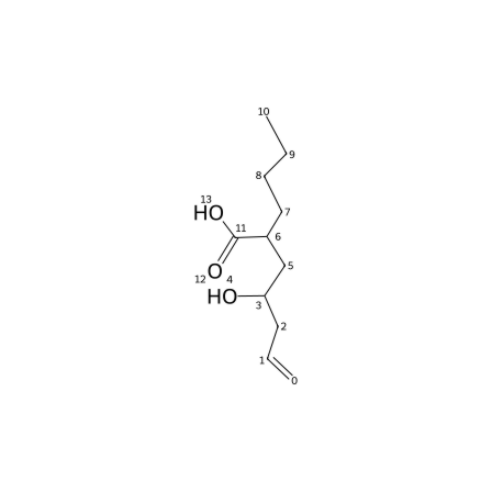 C=CCC(O)CC(CCCC)C(=O)O